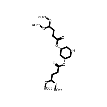 CCCCCCCCOC(CCC(=O)O[C@@H]1CNC[C@H](OC(=O)CCC(OCCCCCCCC)OCCCCCCCC)C1)OCCCCCCCC